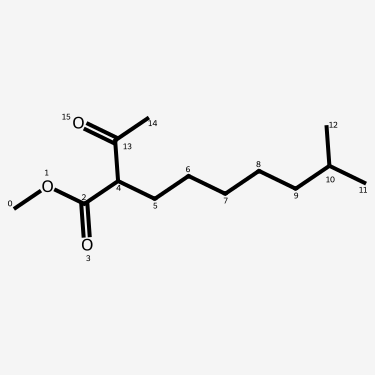 COC(=O)C(CCCCCC(C)C)C(C)=O